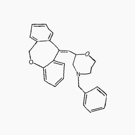 C(=C1c2ccccc2COc2ccccc21)C1CN(Cc2ccccc2)CCO1